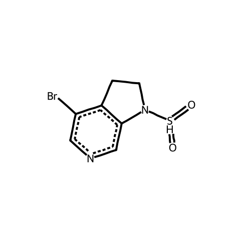 O=[SH](=O)N1CCc2c(Br)cncc21